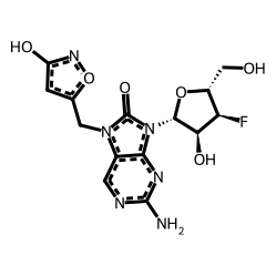 Nc1ncc2c(n1)n([C@@H]1O[C@H](CO)[C@@H](F)[C@H]1O)c(=O)n2Cc1cc(O)no1